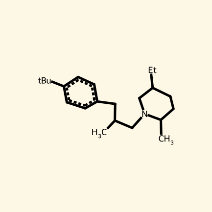 CCC1CCC(C)N(CC(C)Cc2ccc(C(C)(C)C)cc2)C1